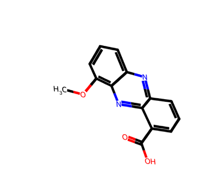 COc1cccc2nc3cccc(C(=O)O)c3nc12